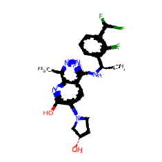 Cc1nnc(N[C@H](C)c2cccc(C(F)F)c2F)c2cc(N3CC[C@H](O)C3)c(O)nc12